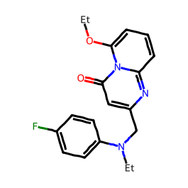 CCOc1cccc2nc(CN(CC)c3ccc(F)cc3)cc(=O)n12